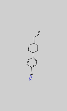 C=CC=C1CCC(c2ccc(C#N)cc2)CC1